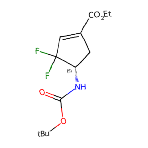 CCOC(=O)C1=CC(F)(F)[C@@H](NC(=O)OC(C)(C)C)C1